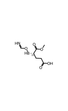 COC(=O)[C@@H](BOC=N)CCC(=O)O